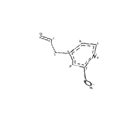 C=CCc1ccnc([O])c1